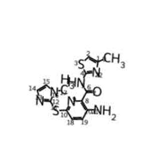 Cc1csc(NC(=O)c2nc(Sc3nccn3C)ccc2N)n1